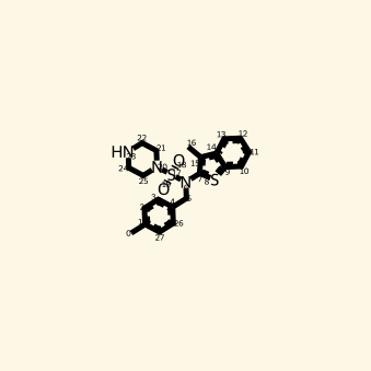 Cc1ccc(CN(c2sc3ccccc3c2C)S(=O)(=O)N2CCNCC2)cc1